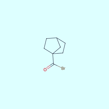 O=C(Br)C12CCC(CC1)C2